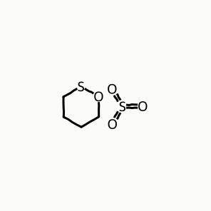 C1CCSOC1.O=S(=O)=O